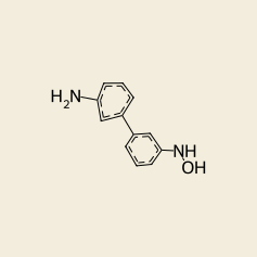 Nc1cccc(-c2cccc(NO)c2)c1